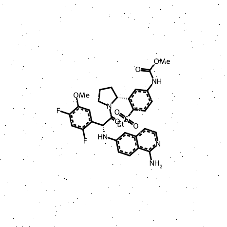 CCS(=O)(=O)c1ccc(NC(=O)OC)cc1[C@H]1CCCN1C(=O)[C@H](Nc1ccc2c(N)nccc2c1)c1cc(OC)c(F)cc1F